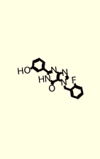 O=c1[nH]c(-c2cccc(O)c2)nc2ncn(Cc3ccccc3F)c12